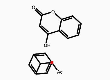 CC(=O)CC1c2cccc1c2.O=c1cc(O)c2ccccc2o1